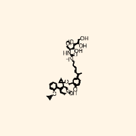 CC(CCCCNC(=O)NC(CO)C(O)C(O)C(O)CO)c1ccc(Cl)c(COC2(c3c[n+](O)ccc3-c3ccccc3OC3CC3)CC2)c1